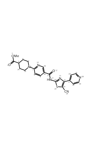 COC(=O)C1CCN(c2ccc(C(=O)Nc3nc(-c4ccncc4)c(C#N)s3)cn2)CC1